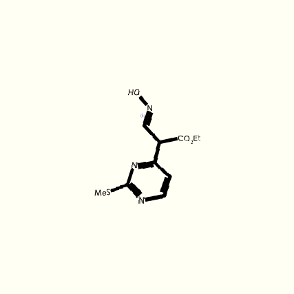 CCOC(=O)C(/C=N/O)c1ccnc(SC)n1